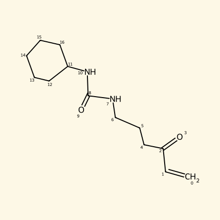 C=CC(=O)CCCNC(=O)NC1CCCCC1